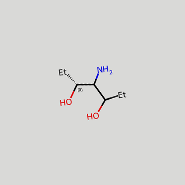 CCC(O)C(N)[C@H](O)CC